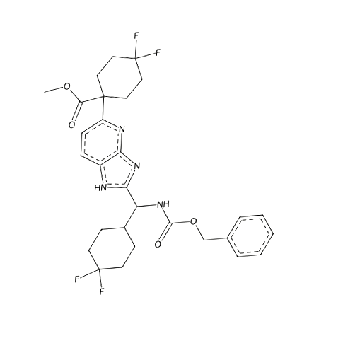 COC(=O)C1(c2ccc3[nH]c(C(NC(=O)OCc4ccccc4)C4CCC(F)(F)CC4)nc3n2)CCC(F)(F)CC1